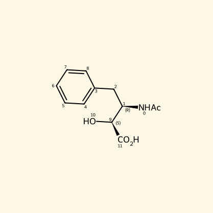 CC(=O)N[C@H](Cc1ccccc1)[C@H](O)C(=O)O